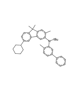 Cc1ccc(-c2ccccc2)cc1N(c1cc2c(cc1C)C(C)(C)c1ccc(C3CCCCC3)cc1-2)C(C)(C)C